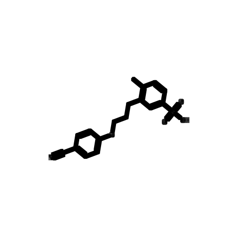 Cc1ccc(S(=O)(=O)O)cc1CCCOc1ccc(C#N)cc1